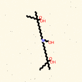 CCCCCC/C(CCCC)=C(\CCCCCCCCCCCN(CCCO)CCCCCCCCCCC/C(C(=O)O)=C(/CCCC)CCCCCC)C(=O)O